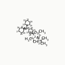 CC(C)[CH2][Al]([CH2]C(C)C)[CH2]C(C)C.c1cc[c]([Al]([c]2ccccc2)[c]2ccccc2)cc1